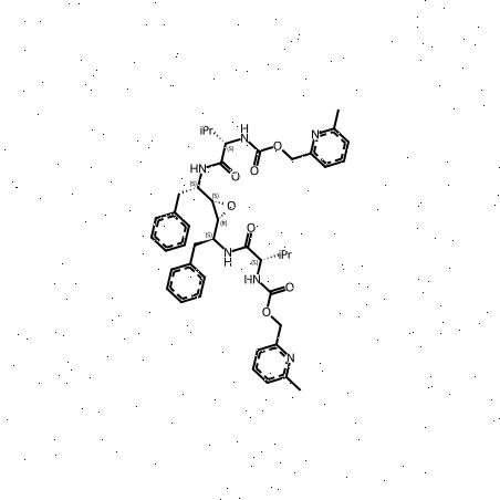 Cc1cccc(COC(=O)N[C@H](C(=O)N[C@@H](Cc2ccccc2)[C@@H]2O[C@@H]2[C@H](Cc2ccccc2)NC(=O)[C@@H](NC(=O)OCc2cccc(C)n2)C(C)C)C(C)C)n1